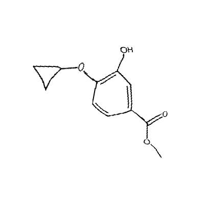 COC(=O)c1ccc(OC2CC2)c(O)c1